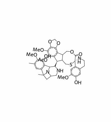 COc1cc2c(cc1O)CCN[C@@]21SCC2C(COC1=O)c1c3c(c(OC)c(OC(C)=O)c1[C@@H]2C1NCC2CC4(C)c5cc(C)c(OC)c(O)c5C1N24)OCO3